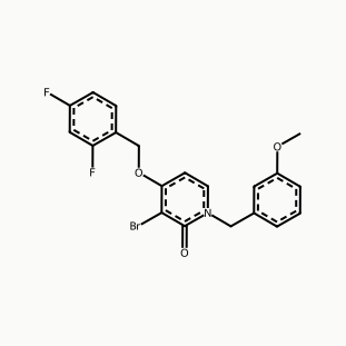 COc1cccc(Cn2ccc(OCc3ccc(F)cc3F)c(Br)c2=O)c1